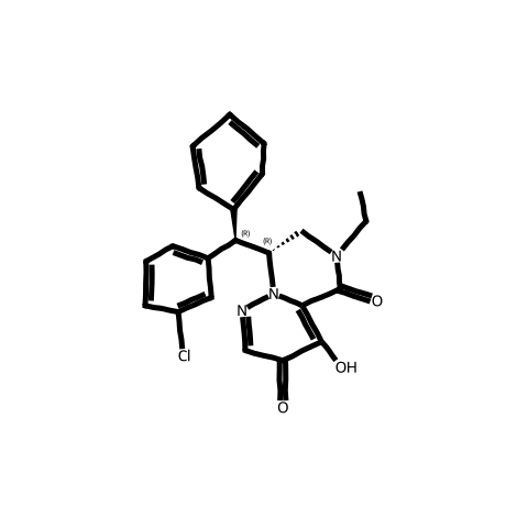 CCN1C[C@@H]([C@H](c2ccccc2)c2cccc(Cl)c2)n2ncc(=O)c(O)c2C1=O